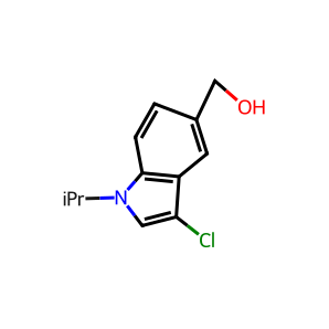 CC(C)n1cc(Cl)c2cc(CO)ccc21